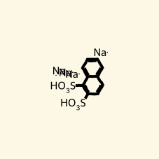 O=S(=O)(O)c1ccc2ccccc2c1S(=O)(=O)O.[Na].[Na].[Na].[Na]